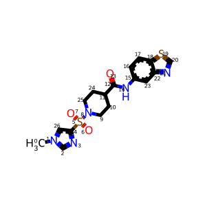 Cn1cnc(S(=O)(=O)N2CCC(C(=O)Nc3ccc4scnc4c3)CC2)c1